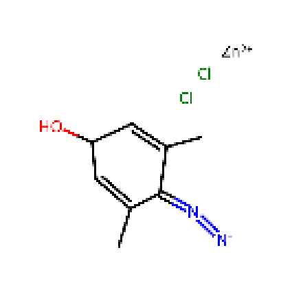 CC1=CC(O)C=C(C)C1=[N+]=[N-].[Cl-].[Cl-].[Zn+2]